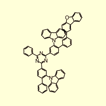 c1ccc(-c2nc(-c3ccc(-c4ccccc4)c(-n4c5ccccc5c5ccccc54)c3)nc(-c3ccc(-c4cccc(-c5ccc6oc7ccccc7c6c5)c4)c(-n4c5ccccc5c5ccccc54)c3)n2)cc1